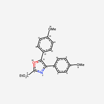 CCOC(=O)c1nc(-c2ccc(OC)cc2)c(-c2ccc(OC)cc2)o1